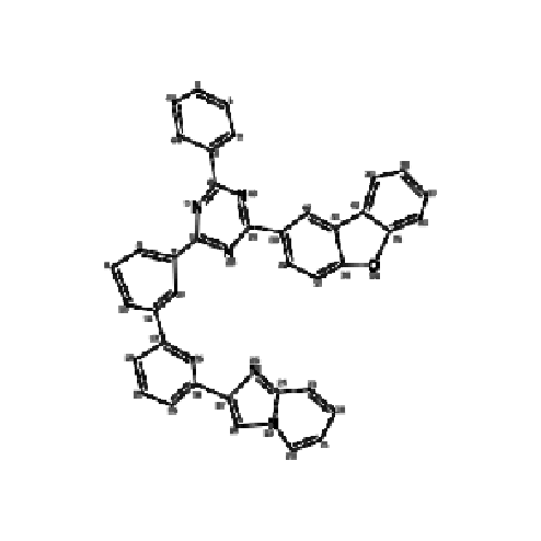 c1ccc(-c2nc(-c3cccc(-c4cccc(-c5cn6ccccc6n5)c4)c3)nc(-c3ccc4oc5ccccc5c4c3)n2)cc1